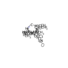 CC(C)n1c(O[C@@H]2C[C@H]3C(=O)N[C@]4(C(=O)NS(=O)(=O)C5(C)CC5)C[C@H]4/C=C\CCCCC[C@H](NC(=O)OC(C)(C)C)C(=O)N3C2)nc2c(-c3nc(C4CCCCC4)cs3)cccc21